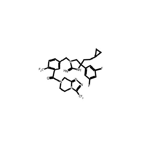 N=C1NC(CCC2CC2)(c2cc(F)cc(F)c2)CN1Cc1ccc(C(F)(F)F)c(C(=O)N2CCn3c(nnc3C(F)(F)F)C2)c1